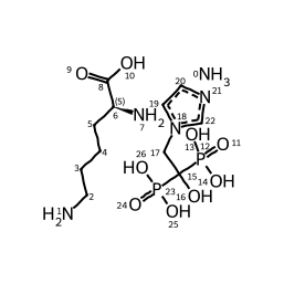 N.NCCCC[C@H](N)C(=O)O.O=P(O)(O)C(O)(Cn1ccnc1)P(=O)(O)O